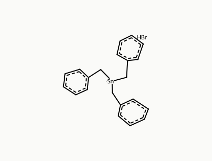 Br.c1ccc([CH2][Sn]([CH2]c2ccccc2)[CH2]c2ccccc2)cc1